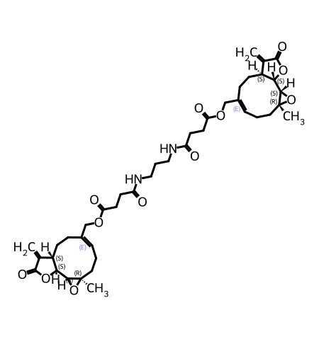 C=C1C(=O)O[C@H]2[C@H]1CC/C(COC(=O)CCC(=O)NCCCNC(=O)CCC(=O)OC/C1=C/CC[C@@]3(C)O[C@H]3[C@H]3OC(=O)C(=C)[C@@H]3CC1)=C\CC[C@@]1(C)O[C@@H]21